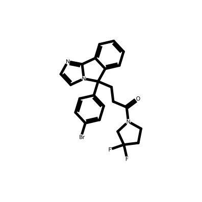 O=C(CCC1(c2ccc(Br)cc2)c2ccccc2-c2nccn21)N1CCC(F)(F)C1